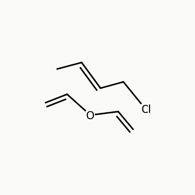 C=COC=C.CC=CCCl